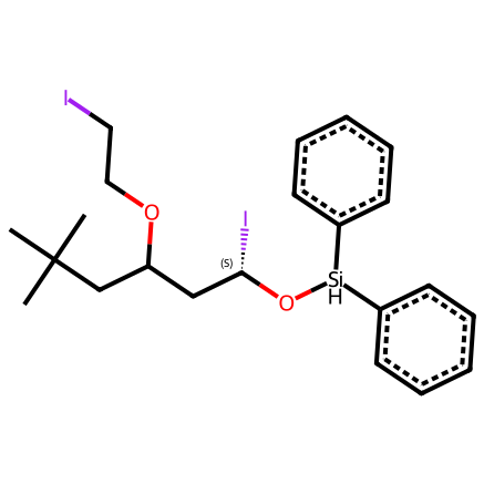 CC(C)(C)CC(C[C@H](I)O[SiH](c1ccccc1)c1ccccc1)OCCI